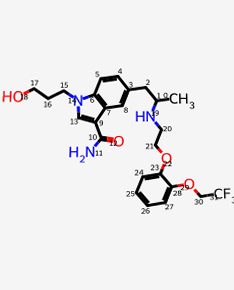 CC(Cc1ccc2c(c1)c(C(N)=O)cn2CCCO)NCCOc1ccccc1OCC(F)(F)F